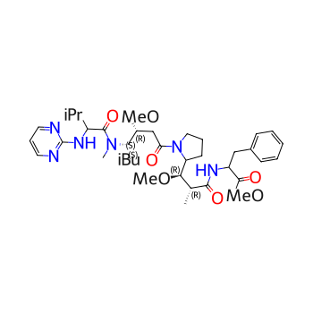 CC[C@H](C)[C@@H]([C@@H](CC(=O)N1CCCC1[C@H](OC)[C@@H](C)C(=O)NC(Cc1ccccc1)C(=O)OC)OC)N(C)C(=O)C(Nc1ncccn1)C(C)C